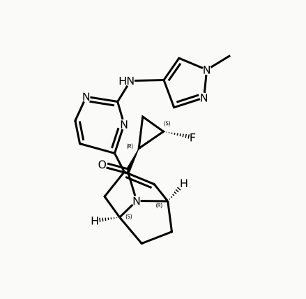 Cn1cc(Nc2nccc(C3=C[C@H]4CC[C@@H](C3)N4C(=O)[C@H]3C[C@@H]3F)n2)cn1